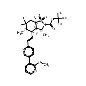 COc1ncccc1-c1ccc(C=C[C@@H]2[C@@H]3[C@@H](C)N(C(=O)OC(C)(C)C)S(=O)(=O)[C@@H]3CC(F)(F)[C@H]2C)nc1